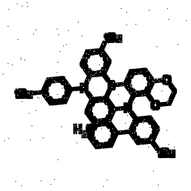 Cc1cc2c3c(c1)N(c1ccc(C(C)(C)C)cc1-c1ccccc1)c1c(ccc4c1OCCO4)B3c1cc(C(C)(C)C)ccc1N2c1ccc(C(C)(C)C)cc1